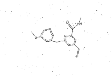 CNC(=O)c1cc(C=O)cc(Cc2cccc(OC)c2)n1